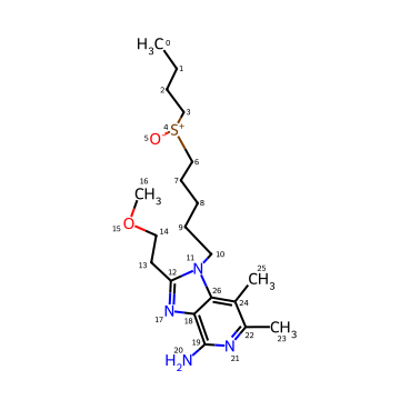 CCCC[S+]([O-])CCCCCn1c(CCOC)nc2c(N)nc(C)c(C)c21